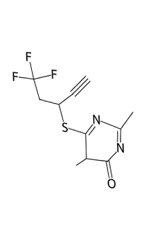 C#CC(CC(F)(F)F)SC1=NC(C)=NC(=O)C1C